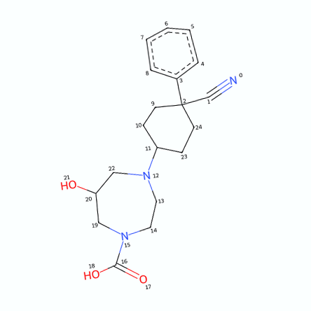 N#CC1(c2ccccc2)CCC(N2CCN(C(=O)O)CC(O)C2)CC1